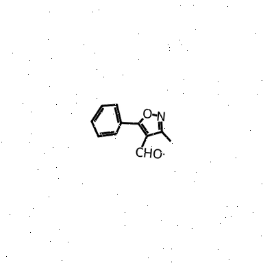 Cc1noc(-c2ccccc2)c1[C]=O